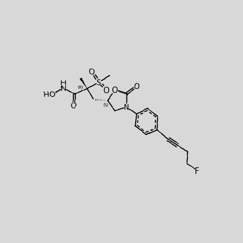 C[C@@](C[C@H]1CN(c2ccc(C#CCCF)cc2)C(=O)O1)(C(=O)NO)S(C)(=O)=O